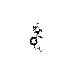 CN(c1cccc(N)c1)c1nn[nH]n1